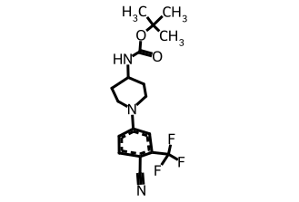 CC(C)(C)OC(=O)NC1CCN(c2ccc(C#N)c(C(F)(F)F)c2)CC1